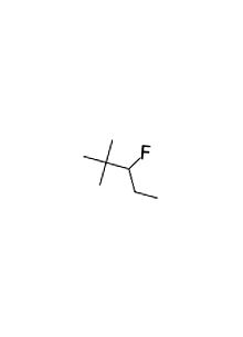 CCC(F)C(C)(C)C